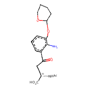 CC(=O)N[C@@H](CC(=O)c1cccc(OC2CCCCO2)c1N)C(=O)O